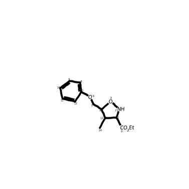 CCOC(=O)C1NOC(COc2ccccc2)C1C